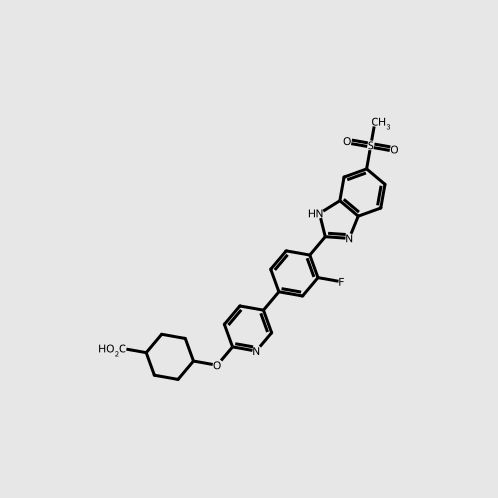 CS(=O)(=O)c1ccc2nc(-c3ccc(-c4ccc(OC5CCC(C(=O)O)CC5)nc4)cc3F)[nH]c2c1